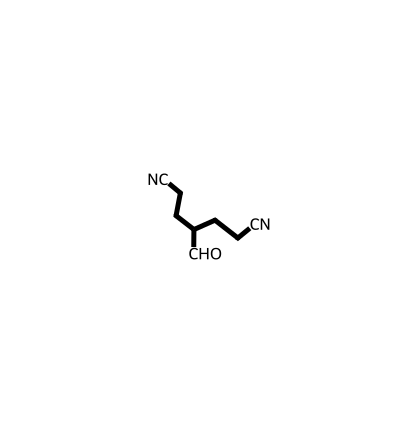 N#CCCC(C=O)CCC#N